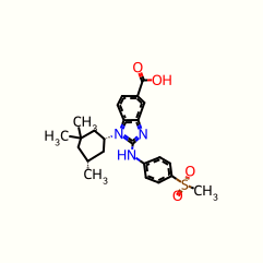 C[C@H]1C[C@@H](n2c(Nc3ccc(S(C)(=O)=O)cc3)nc3cc(C(=O)O)ccc32)CC(C)(C)C1